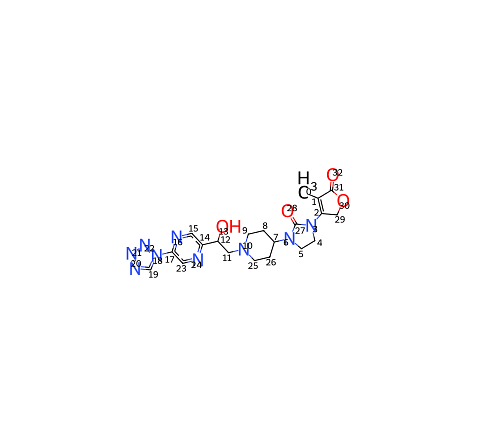 CC1=C(N2CCN(C3CCN(CC(O)c4cnc(-n5cnnn5)cn4)CC3)C2=O)COC1=O